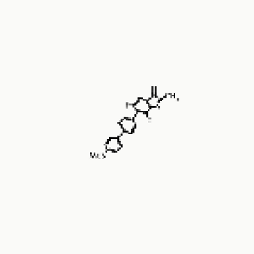 CSc1ccc(-c2ccc(-c3c(F)cc4[nH]c(C)nc4c3F)cc2)cc1